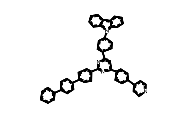 c1ccc(-c2ccc(-c3ccc(-c4nc(-c5ccc(-c6ccncc6)cc5)cc(-c5ccc(-n6c7ccccc7c7ccccc76)cc5)n4)cc3)cc2)cc1